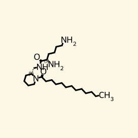 CCCCCCCCCCCCC(=O)N1CCCC[C@@H]1CNC(=O)[C@@H](N)CCCCN